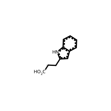 O=C(O)[CH]Cc1cc2ccccc2[nH]1